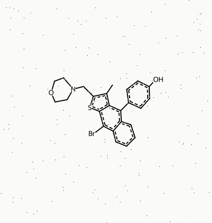 Cc1c(CN2CCOCC2)sc2c(Br)c3ccccc3c(-c3ccc(O)cc3)c12